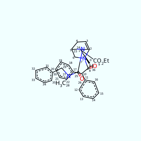 CCOC(=O)[C@H]1C2=CCC(CN2C(=O)C(c2ccccc2)c2ccccc2)CN1C(=O)N(C)Cc1ccccc1